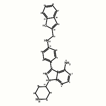 Nc1ncnc2c1c(-c1ccc(NCc3cc4ccccc4o3)cc1)nn2C1CCNCC1